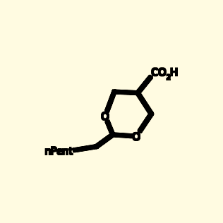 CCCCCCC1OCC(C(=O)O)CO1